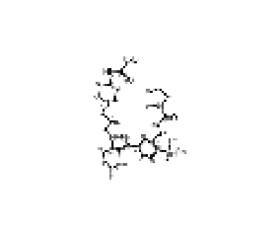 O=C(CO)NC1CCN(CC(O)Cn2nc(-c3ccc(C(F)(F)F)c(SCC(=O)N4CCCC4)c3)c3c2CCNC3)CC1